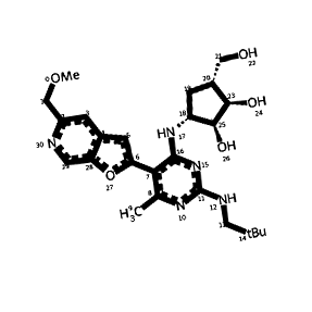 COCc1cc2cc(-c3c(C)nc(NCC(C)(C)C)nc3N[C@@H]3C[C@H](CO)[C@@H](O)[C@H]3O)oc2cn1